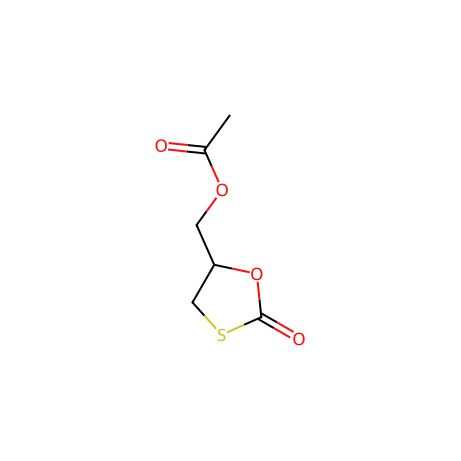 CC(=O)OCC1CSC(=O)O1